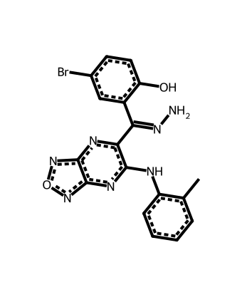 Cc1ccccc1Nc1nc2nonc2nc1C(=NN)c1cc(Br)ccc1O